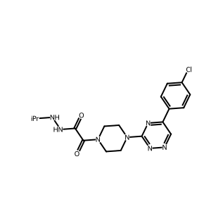 CC(C)NNC(=O)C(=O)N1CCN(c2nncc(-c3ccc(Cl)cc3)n2)CC1